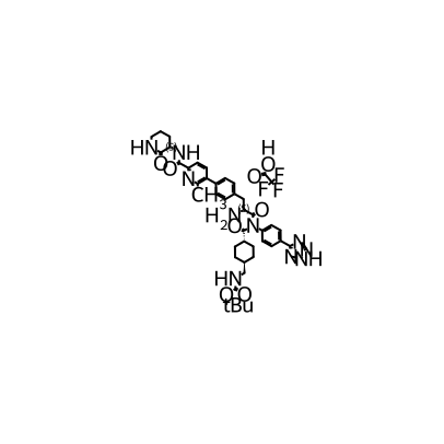 Cc1nc(C(=O)N[C@H]2CCCNC2=O)ccc1-c1ccc(C[C@H](N)C(=O)N(c2ccc(-c3nn[nH]n3)cc2)C(=O)[C@H]2CC[C@H](CNC(=O)OC(C)(C)C)CC2)cc1.O=C(O)C(F)(F)F